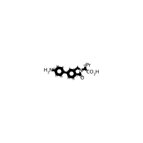 CC(C)C(C(=O)O)N1Cc2cc(-c3ccc(N)cc3)ccc2C1=O